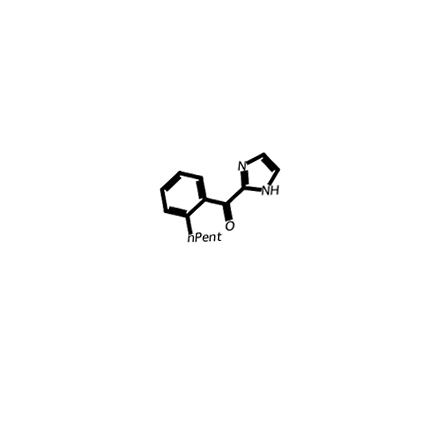 CCCCCc1ccccc1C(=O)c1ncc[nH]1